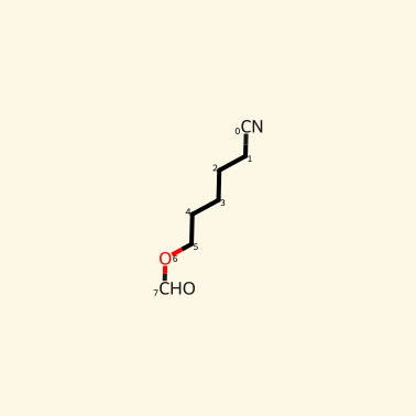 N#CCCCCCOC=O